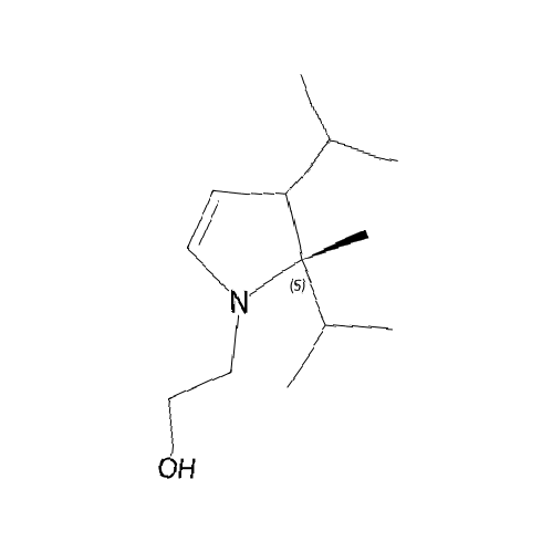 CC(C)C1C=CN(CCO)[C@@]1(C)C(C)C